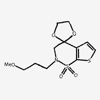 COCCCN1CC2(OCCO2)c2ccsc2S1(=O)=O